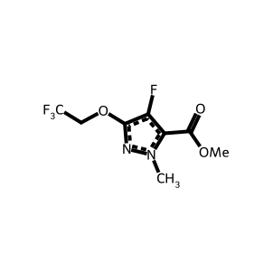 COC(=O)c1c(F)c(OCC(F)(F)F)nn1C